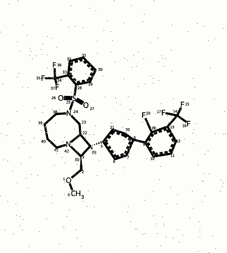 COC[C@@H]1[C@@H](c2ccc(-c3cccc(C(F)(F)F)c3F)cc2)C2CN(S(=O)(=O)c3ccccc3C(F)(F)F)CCCCN21